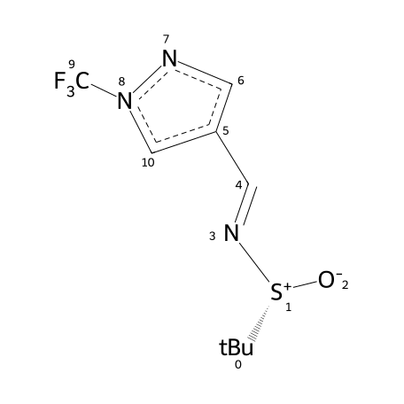 CC(C)(C)[S@@+]([O-])N=Cc1cnn(C(F)(F)F)c1